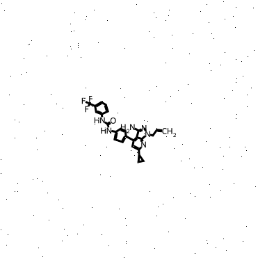 C=CCn1nc(N)c2c(-c3ccc(NC(=O)Nc4cccc(C(F)(F)F)c4)cc3)cc(C3CC3)nc21